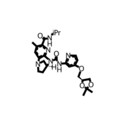 Cc1cc2c(nc1C(=O)NC(C)C)N(C(=O)Nc1cc(OC[C@H]3COC(C)(C)O3)ccn1)[C@H]1CCN2C1